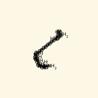 CC(=O)N1c2ccc(-c3ccc(C(=O)NCCOCCOCCOCCOCCOCCOCCOCCOCCNC(=O)c4cc(NC(=O)c5nc(NC(=O)CCNC(=O)c6cc(NC(=O)c7nc(NC(=O)CCN)cn7C)cn6C)cn5C)cn4C)cc3-c3cc(N)ccc3Cl)cc2CC[C@@H]1C